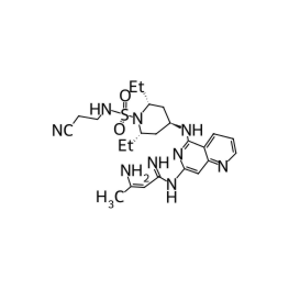 CC[C@@H]1C[C@@H](Nc2nc(NC(=N)/C=C(/C)N)cc3ncccc23)C[C@H](CC)N1S(=O)(=O)NCCC#N